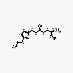 C=C(CCC(=O)CCc1ccc(CCC(C)=O)o1)OCC